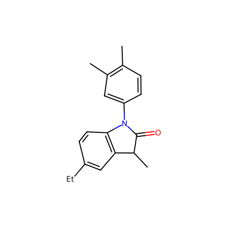 CCc1ccc2c(c1)C(C)C(=O)N2c1ccc(C)c(C)c1